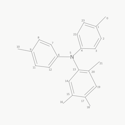 Cc1ccc(N(c2ccc(C)cc2)c2cc(C)c(C)cc2C)cc1